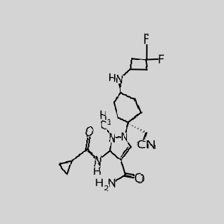 CN1C(NC(=O)C2CC2)C(C(N)=O)=CN1[C@]1(CC#N)CC[C@H](NC2CC(F)(F)C2)CC1